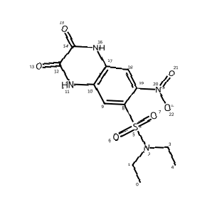 CCN(CC)S(=O)(=O)c1cc2[nH]c(=O)c(=O)[nH]c2cc1[N+](=O)[O-]